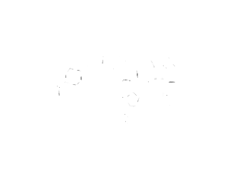 CONC(=O)[C@@H]1[C@H](NC(=O)C(=NOC(C)(C)C(=O)OCc2ccc([N+](=O)[O-])cc2)c2csc(N)n2)C(=O)N1S(=O)(=O)[O-].[Na+]